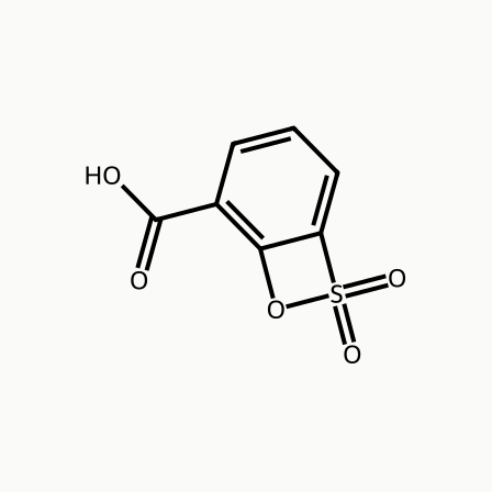 O=C(O)c1cccc2c1OS2(=O)=O